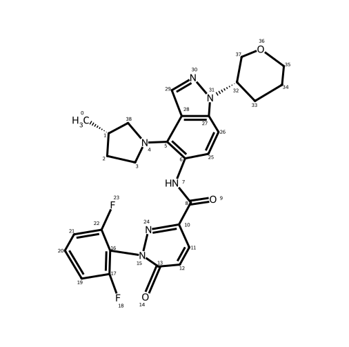 C[C@H]1CCN(c2c(NC(=O)c3ccc(=O)n(-c4c(F)cccc4F)n3)ccc3c2cnn3[C@H]2CCCOC2)C1